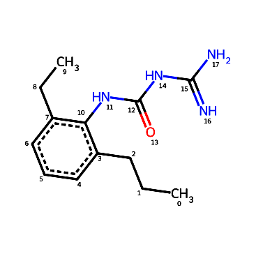 CCCc1cccc(CC)c1NC(=O)NC(=N)N